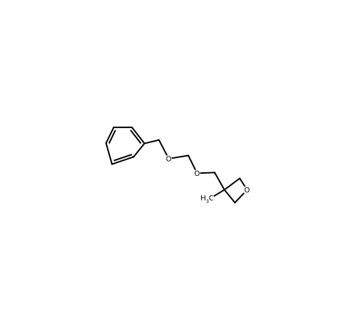 CC1(COCOCc2ccccc2)COC1